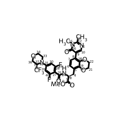 COC(=O)[C@H](Cc1ccc(-c2cnc(C)n(C)c2=O)c2c1OCCO2)NC(=O)c1c(F)cc(N2CCOC[C@@H]2C(F)(F)F)cc1F